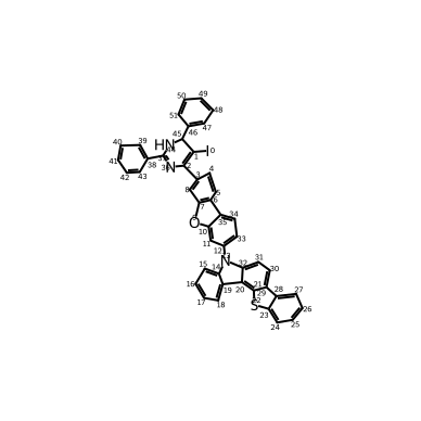 IC1=C(c2ccc3c(c2)oc2cc(-n4c5ccccc5c5c6sc7ccccc7c6ccc54)ccc23)N=C(c2ccccc2)NC1c1ccccc1